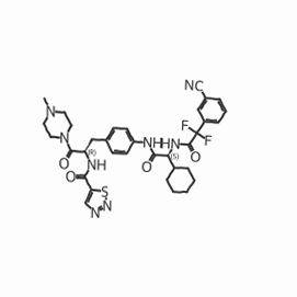 CN1CCN(C(=O)[C@@H](Cc2ccc(NC(=O)[C@@H](NC(=O)C(F)(F)c3cccc(C#N)c3)C3CCCCC3)cc2)NC(=O)c2cnns2)CC1